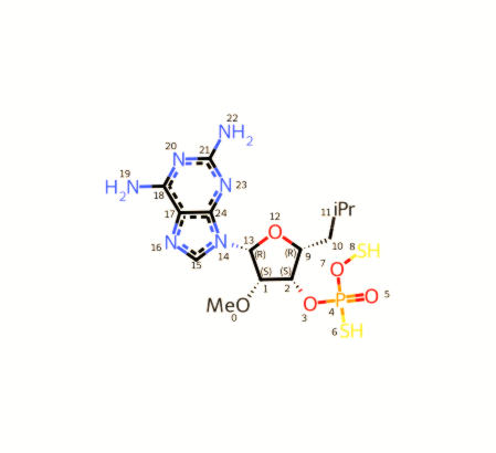 CO[C@H]1[C@@H](OP(=O)(S)OS)[C@@H](CC(C)C)O[C@H]1n1cnc2c(N)nc(N)nc21